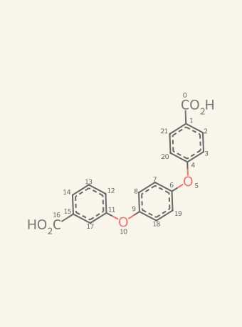 O=C(O)c1ccc(Oc2ccc(Oc3cccc(C(=O)O)c3)cc2)cc1